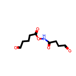 O=CCCCC(=O)ONC(=O)CCC=O